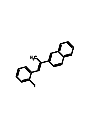 CC(=Cc1ccccc1I)c1ccc2ccccc2c1